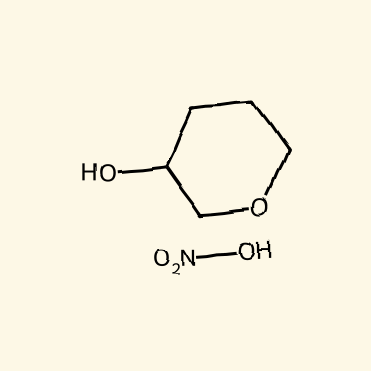 O=[N+]([O-])O.OC1CCCOC1